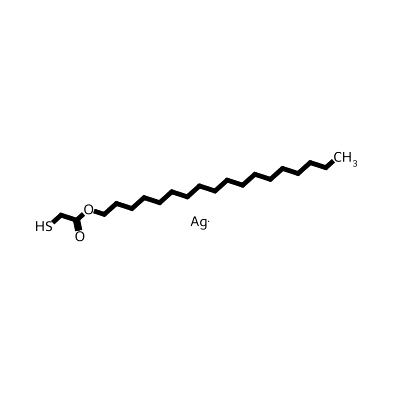 CCCCCCCCCCCCCCCCCCOC(=O)CS.[Ag]